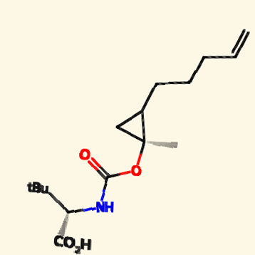 C=CCCCC1C[C@]1(C)OC(=O)N[C@H](C(=O)O)C(C)(C)C